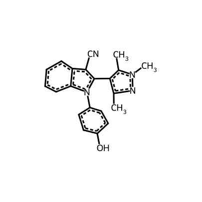 Cc1nn(C)c(C)c1-c1c(C#N)c2ccccc2n1-c1ccc(O)cc1